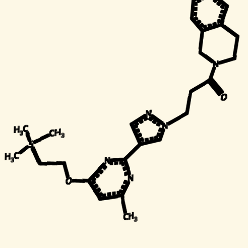 Cc1cc(OCCS(C)(C)C)nc(-c2cnn(CCC(=O)N3CCc4ccccc4C3)c2)n1